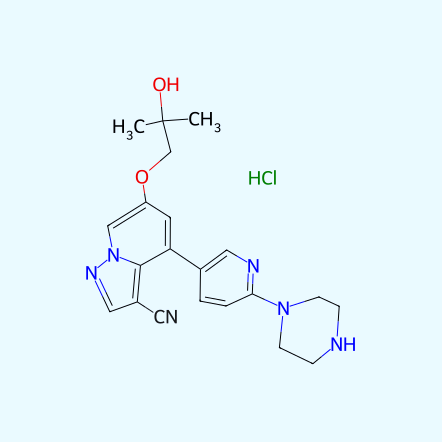 CC(C)(O)COc1cc(-c2ccc(N3CCNCC3)nc2)c2c(C#N)cnn2c1.Cl